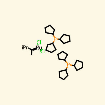 C1CCC(P(C2CCCC2)C2CCCC2)C1.C1CCC(P(C2CCCC2)C2CCCC2)C1.C[C](C(C)C)=[Ru]([Cl])[Cl]